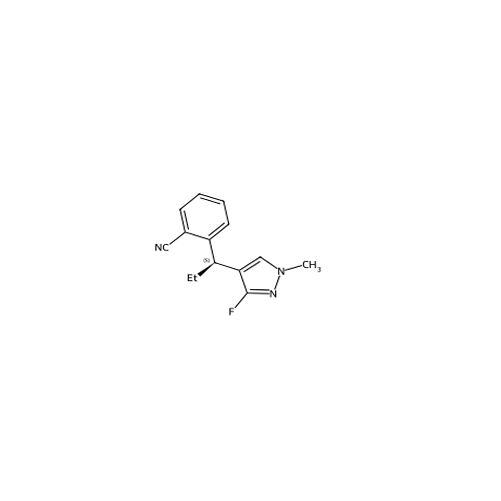 CC[C@@H](c1ccccc1C#N)c1cn(C)nc1F